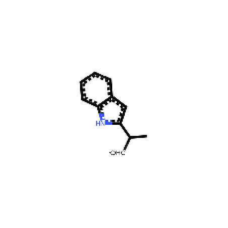 CC([C]=O)c1cc2ccccc2[nH]1